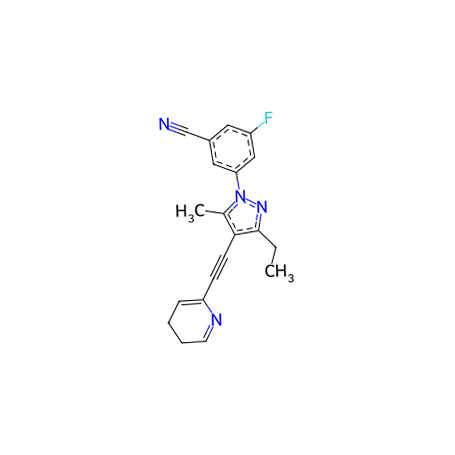 CCc1nn(-c2cc(F)cc(C#N)c2)c(C)c1C#CC1=CCCC=N1